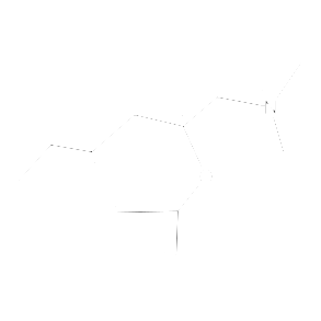 CCCCC(CN(C)C)OC(C)C